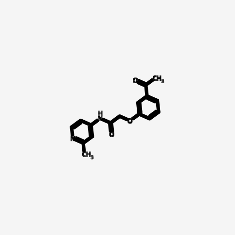 CC(=O)c1cccc(OCC(=O)Nc2ccnc(C)c2)c1